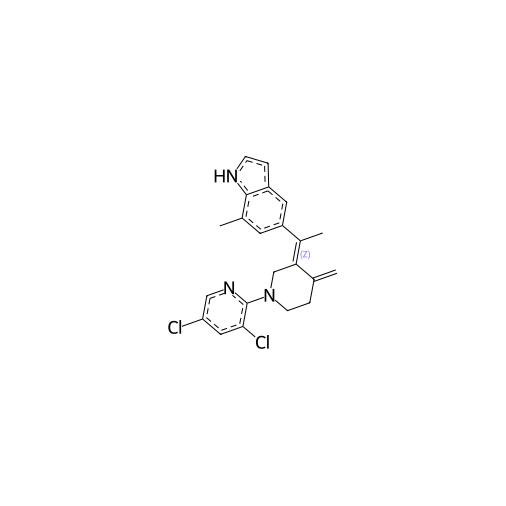 C=C1CCN(c2ncc(Cl)cc2Cl)C/C1=C(/C)c1cc(C)c2[nH]ccc2c1